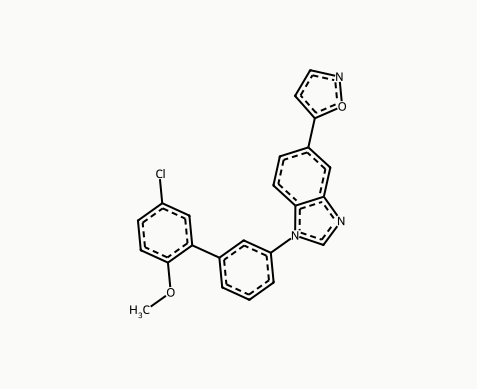 COc1ccc(Cl)cc1-c1cccc(-n2cnc3cc(-c4ccno4)ccc32)c1